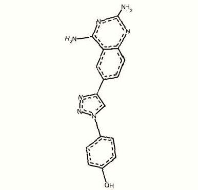 Nc1nc(N)c2cc(-c3cn(-c4ccc(O)cc4)nn3)ccc2n1